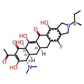 CC[C@@H](C)N1Cc2c(O)c3c(c(F)c2C1)C[C@H]1C[C@H]2[C@H](N(C)C)C(O)=C(C(C)=O)C(=O)[C@@]2(O)C(O)=C1C3=O